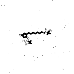 CC(C)C(C)(C)[SiH2]OCCCCCCCC1=CC(=O)CC1O[SiH2]C(C)(C)C(C)C